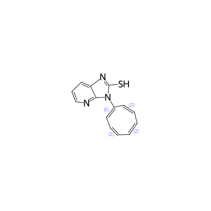 Sc1nc2cccnc2n1C1=C/C=C\C=C/C=C\1